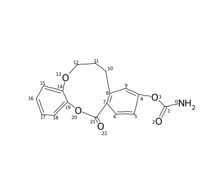 NC(=O)Oc1ccc2c(c1)CCCOc1ccccc1OC2=O